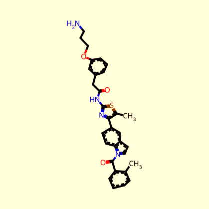 Cc1ccccc1C(=O)n1ccc2cc(-c3nc(NC(=O)Cc4cccc(OCCCN)c4)sc3C)ccc21